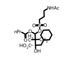 CCCC(=O)OC(OS(=O)(=O)CCCNC(C)=O)C(C)(C)[C@](O)(CC1CCCCC1)C(=O)O